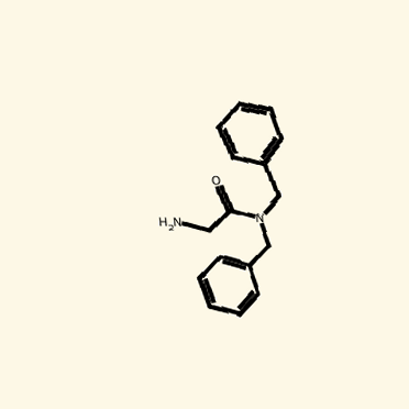 NCC(=O)N(Cc1ccccc1)Cc1ccccc1